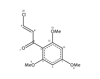 COc1cc(OC)c(C(=O)/C=C/Cl)c(OC)c1